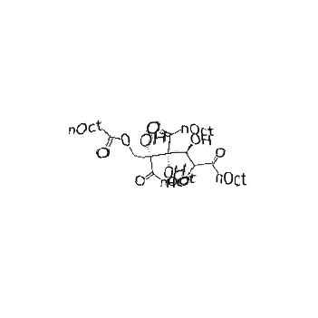 CCCCCCCCC(=O)OC[C@](O)(C(=O)CCCCCCCC)[C@@](O)(C(=O)CCCCCCCC)[C@@H](O)C(O)C(=O)CCCCCCCC